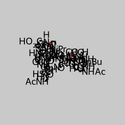 CCCC[C@H](NC(=O)[C@H](Cc1ccc(O)cc1)NC(C)=O)C(=O)N[C@@H](CO)C(=O)N[C@H](C(=O)N[C@@H](CCC(=O)O)C(=O)N[C@@H](CCC(N)=O)C(=O)N[C@@H](CC(N)=O)C(=O)N[C@H](C(=O)N1CCC[C@H]1C(=O)N[C@@H](CC(=O)O)C(=O)N1CCC[C@H]1C(=O)N[C@@H](CCC(N)=O)C(=O)N[C@H](C(=O)NCC(=O)N[C@H](CS)C(=O)NCNC(C)=O)C(C)C)C(C)C)[C@@H](C)O